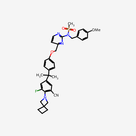 COc1ccc(CN(c2nccc(COc3ccc(C(C)(C)c4cc(F)c(N5CC6(CCC6)C5)c(C#N)c4)cc3)n2)S(C)(=O)=O)cc1